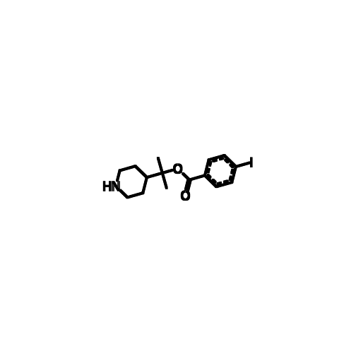 CC(C)(OC(=O)c1ccc(I)cc1)C1CCNCC1